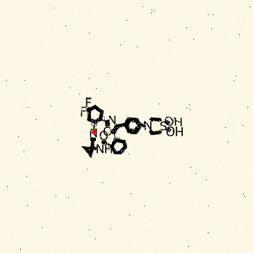 C[C@H]1CC(F)(F)CC[C@@H]1c1nc(-c2ccc(N3CCS(O)(O)CC3)cc2)c([C@@H]2CCCC[C@H]2C(=O)NC2(C#N)CC2)o1